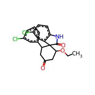 CCOC1CC(=O)CC(c2cccc(Cl)c2)C12C(=O)Nc1ccc(Cl)cc12